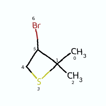 CC1(C)SCC1Br